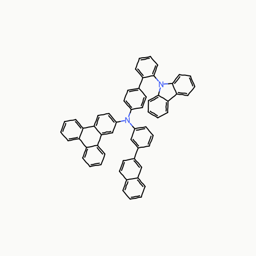 c1cc(-c2ccc3ccccc3c2)cc(N(c2ccc(-c3ccccc3-n3c4ccccc4c4ccccc43)cc2)c2ccc3c4ccccc4c4ccccc4c3c2)c1